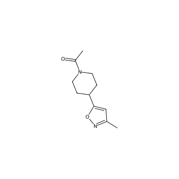 CC(=O)N1CCC(c2cc(C)no2)CC1